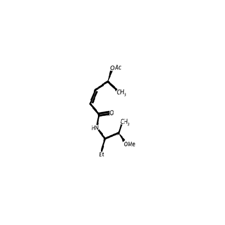 CCC(NC(=O)/C=C\[C@H](C)OC(C)=O)[C@@H](C)OC